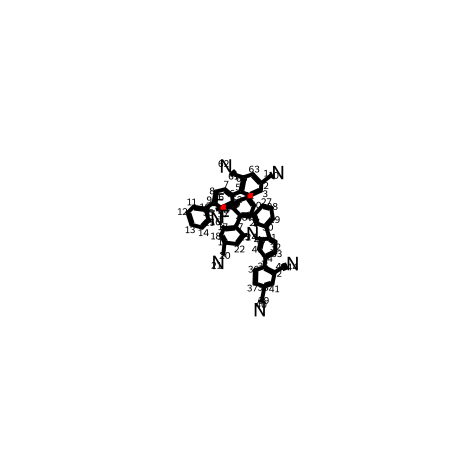 N#Cc1ccc(-c2ccc3c4ccccc4n(-c4cc(C#N)cc(-n5c6ccccc6c6ccc(-c7ccc(C#N)cc7C#N)cc65)c4-c4ccccc4C(F)(F)F)c3c2)c(C#N)c1